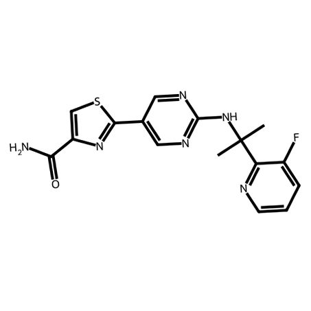 CC(C)(Nc1ncc(-c2nc(C(N)=O)cs2)cn1)c1ncccc1F